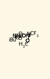 CCC(C)C(=O)ONS(=O)(=O)c1ccc(-n2nc(C(F)(F)F)cc2-c2ccc(C)cc2)cc1